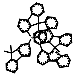 CC1(C)c2ccccc2-c2ccc(N(c3ccc4c(c3)C(C)(C)c3ccccc3-4)c3cccc4c3C(c3ccccc3)(c3ccc(-c5cccc6c5oc5ccccc56)cc3)c3ccccc3-4)cc21